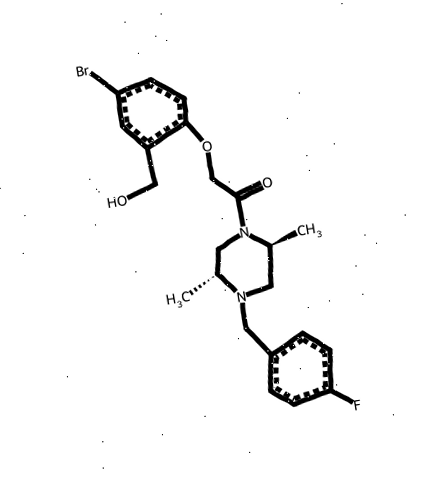 C[C@@H]1CN(C(=O)COc2ccc(Br)cc2CO)[C@@H](C)CN1Cc1ccc(F)cc1